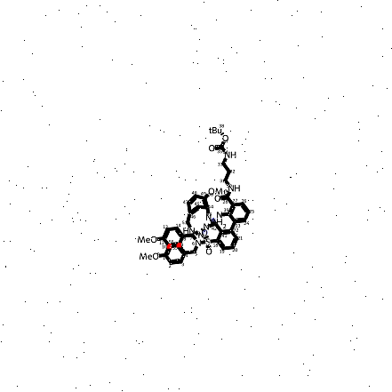 COc1ccc(CN(Cc2ccc(OC)cc2)S(=O)(=O)c2cccc(-c3cccc(C(=O)NCCCNC(=O)OC(C)(C)C)c3N)c2C2=N\c3cc(ccc3OC)CN\N=N\2)cc1